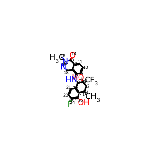 C[C@@H]1C[C@@](O)(C(F)(F)F)[C@@H](Nc2cccc3c(=O)n(C)ncc23)c2ccc(F)c(O)c21